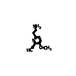 C#Cc1nc(CCN)ccc1OC